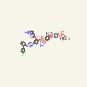 CC1(C)CCC(CN2CCN(c3ccc(C(=O)NS(=O)(=O)c4ccc(OC[C@H]5CC[C@H](OP(=O)(OC(C)(C)C)OC(C)(C)C)CC5)c([N+](=O)[O-])c4)c(Oc4cnc5[nH]ccc5c4)c3)CC2)=C(c2ccc(Cl)cc2)C1